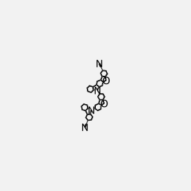 N#Cc1ccc2oc3cc4c(cc3c2c1)c1ccccc1n4-c1ccc2oc3ccc(-n4c5ccccc5c5cc(C#N)ccc54)cc3c2c1